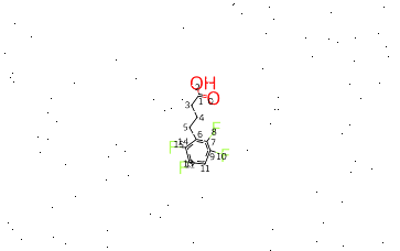 O=C(O)CCCc1c(F)c(F)cc(F)c1F